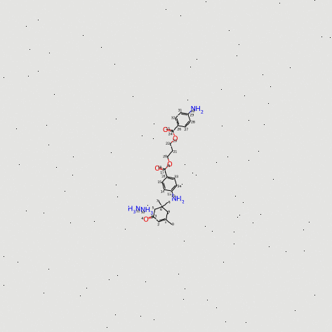 CC1=CC(=O)CC(C)(C)C1.N.N.Nc1ccc(C(=O)OCCCOC(=O)c2ccc(N)cc2)cc1